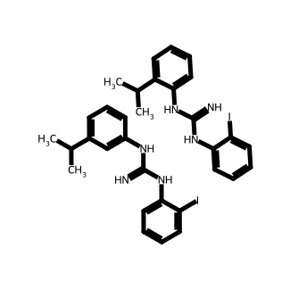 CC(C)c1cccc(NC(=N)Nc2ccccc2I)c1.CC(C)c1ccccc1NC(=N)Nc1ccccc1I